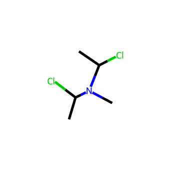 CC(Cl)N(C)C(C)Cl